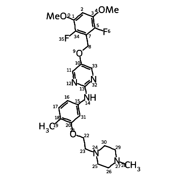 COc1cc(OC)c(F)c(COc2cnc(Nc3ccc(C)c(OCCN4CCN(C)CC4)c3)nc2)c1F